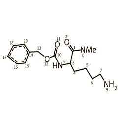 CNC(=O)C(CCCCN)NC(=O)OCc1ccccc1